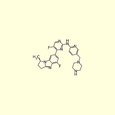 C[C@@H]1CCc2nc3c(F)cc(-c4nc(Nc5ccc(CN6CCNCC6)cn5)ncc4F)cc3n21